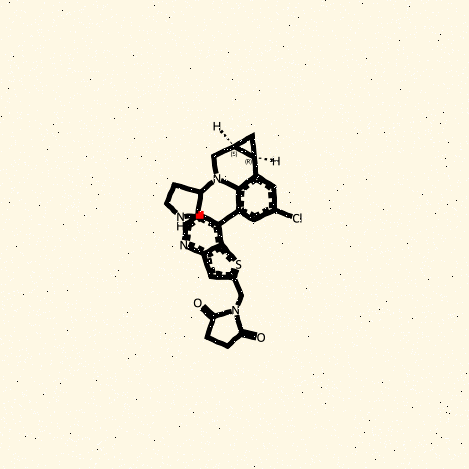 O=C1CCC(=O)N1Cc1cc2nccc(-c3cc(Cl)cc4c3N(C3CCNC3)C[C@H]3C[C@@H]43)c2s1